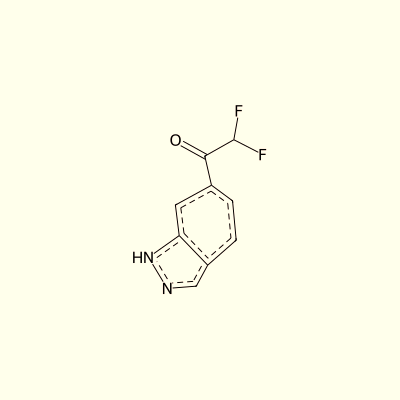 O=C(c1ccc2cn[nH]c2c1)C(F)F